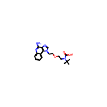 CC(C)(C)N(CCOCCn1cnc2c(N)nc3ccccc3c21)C(=O)O